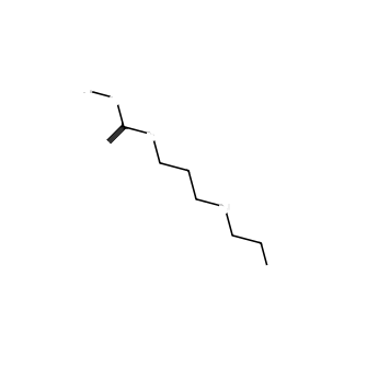 CC(C)(C)OC(=O)NCCCNCCC(=O)O